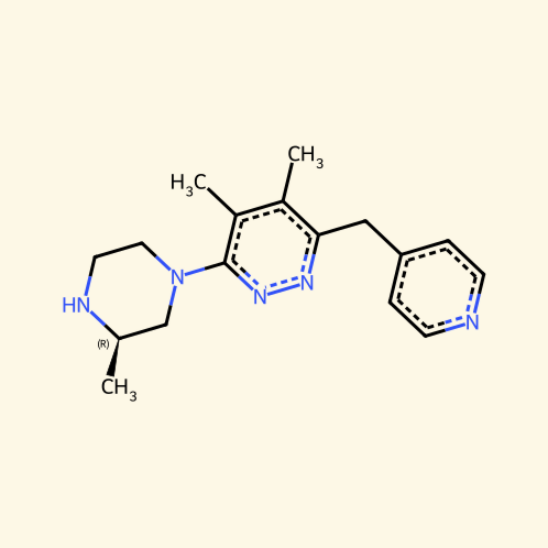 Cc1c(Cc2ccncc2)nnc(N2CCN[C@H](C)C2)c1C